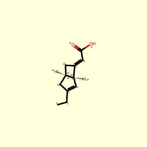 CCC1=C[C@@H]2C(=CC(=O)O)C[C@@H]2C1